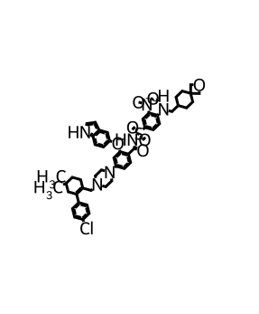 CC1(C)CCC(CN2CCN(c3ccc(C(=O)NS(=O)(=O)c4ccc(NCC5CCC6(CC5)COC6)c([N+](=O)[O-])c4)c(Oc4ccc5[nH]ccc5c4)c3)CC2)=C(c2ccc(Cl)cc2)C1